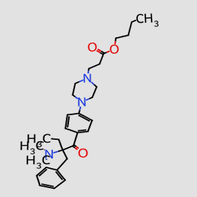 CCCCOC(=O)CCN1CCN(c2ccc(C(=O)C(CC)(Cc3ccccc3)N(C)C)cc2)CC1